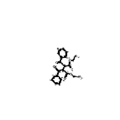 CC(C)(C)COC(=O)C(C(=O)c1ccccc1)C(C(=O)OCC(C)(C)C)C(=O)c1ccccc1